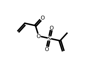 C=CC(=O)OS(=O)(=O)C(=C)C